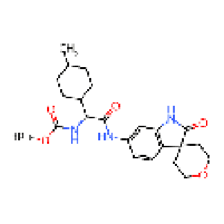 CC1CCC([C@H](NC(=O)OC(C)(C)C)C(=O)Nc2ccc3c(c2)NC(=O)C32CCOCC2)CC1